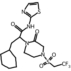 O=C(Nc1nccs1)C(CC1CCCCC1)N1CCN(S(=O)(=O)CC(F)(F)F)CC1=O